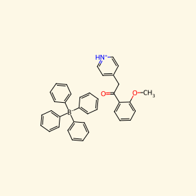 COc1ccccc1C(=O)Cc1cc[nH+]cc1.c1ccc([B-](c2ccccc2)(c2ccccc2)c2ccccc2)cc1